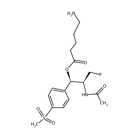 CC(=O)N[C@H](CF)[C@H](OC(=O)CCCCN)c1ccc(S(C)(=O)=O)cc1